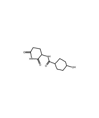 O=C1CCC(NC(=O)C2CCC(O)CC2)C(=O)N1